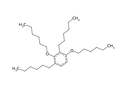 CCCCCCOc1ccc(CCCCCC)c(OCCCCCC)c1CCCCCC